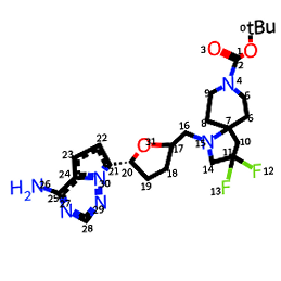 CC(C)(C)OC(=O)N1CCC2(CC1)CC(F)(F)CN2CC1CC[C@H](c2ccc3c(N)ncnn23)O1